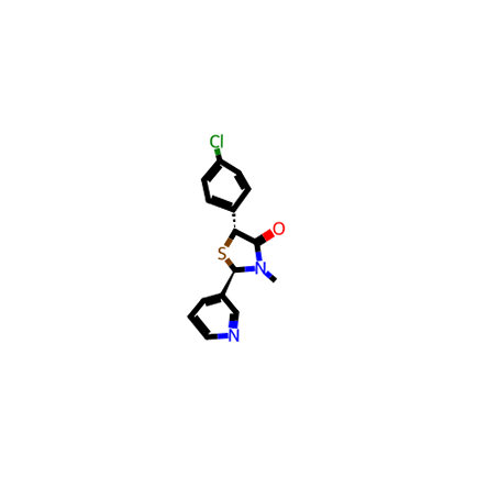 CN1C(=O)[C@@H](c2ccc(Cl)cc2)S[C@@H]1c1cccnc1